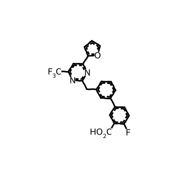 O=C(O)c1cc(-c2cccc(Cc3nc(-c4ccco4)cc(C(F)(F)F)n3)c2)ccc1F